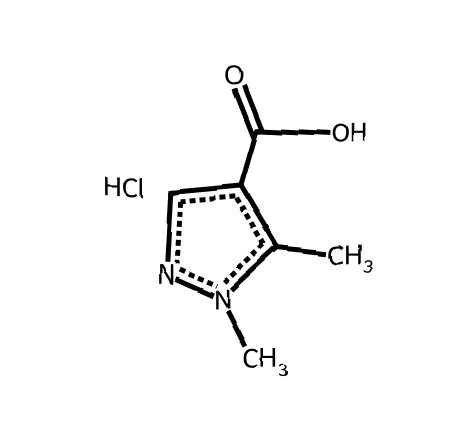 Cc1c(C(=O)O)cnn1C.Cl